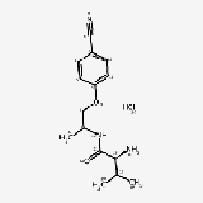 CC(COc1ccc(C#N)cc1)NC(=O)[C@@H](N)C(C)C.Cl